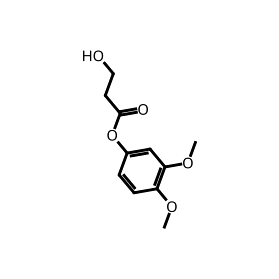 COc1ccc(OC(=O)CCO)cc1OC